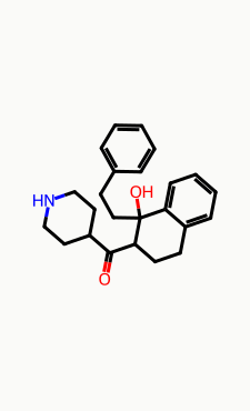 O=C(C1CCNCC1)C1CCc2ccccc2C1(O)CCc1ccccc1